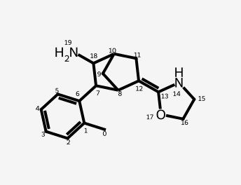 Cc1ccccc1C1C2CC(CC2=C2NCCO2)C1N